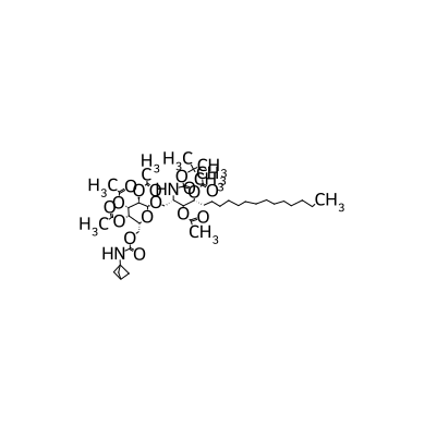 CCCCCCCCCCCCCC[C@@H](OC(C)=O)[C@@H](OC(C)=O)[C@H](CO[C@H]1O[C@H](COC(=O)NC23CC(C2)C3)[C@H](OC(C)=O)[C@H](OC(C)=O)[C@H]1OC(C)=O)NC(=O)OC(C)(C)C